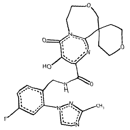 Cc1ncn(-c2cc(F)ccc2CNC(=O)c2nc3n(c(=O)c2O)CCOCC32CCOCC2)n1